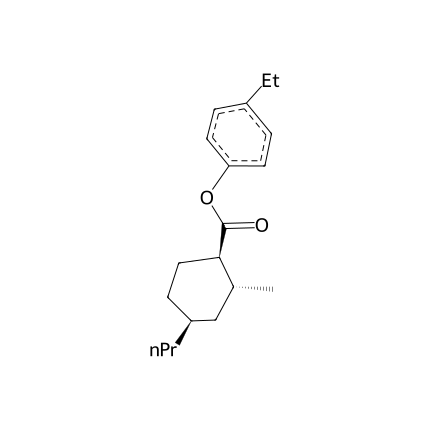 CCC[C@H]1CC[C@@H](C(=O)Oc2ccc(CC)cc2)[C@H](C)C1